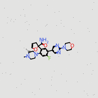 C[C@@H]1CN(c2cc(F)c(-c3cnc(N4CCOCC4)nc3)cc2C2(C(N)=O)CC=CO2)CCN1C